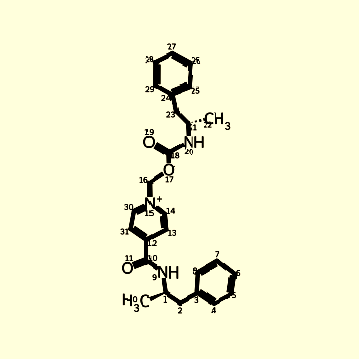 C[C@H](Cc1ccccc1)NC(=O)c1cc[n+](COC(=O)N[C@@H](C)Cc2ccccc2)cc1